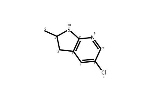 CC1Cc2cc(Cl)cnc2S1